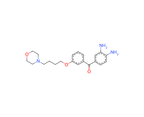 Nc1ccc(C(=O)c2cccc(OCCCCN3CCOCC3)c2)cc1N